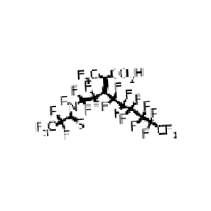 O=C(O)C(=C(C(F)(F)C(F)(F)N(F)C(=S)C(F)(F)C(F)(F)F)C(F)(F)C(F)(F)C(F)(F)C(F)(F)C(F)(F)C(F)(F)F)C(F)(F)F